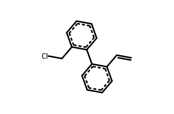 C=Cc1ccccc1-c1ccccc1CCl